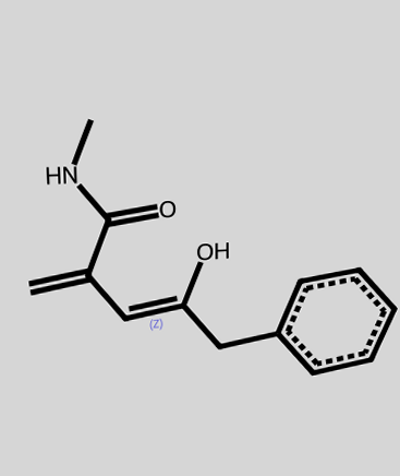 C=C(/C=C(\O)Cc1ccccc1)C(=O)NC